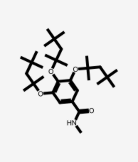 CNC(=O)c1cc(OC(C)(C)CC(C)(C)C)c(OC(C)(C)CC(C)(C)C)c(OC(C)(C)CC(C)(C)C)c1